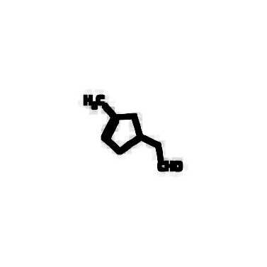 CC1=CCC(CC=O)C1